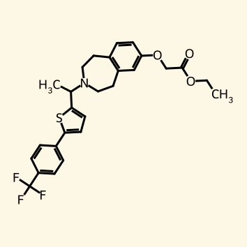 CCOC(=O)COc1ccc2c(c1)CCN(C(C)c1ccc(-c3ccc(C(F)(F)F)cc3)s1)CC2